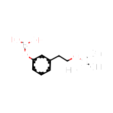 CC(C)(C)[Si](C)(C)OCCc1cccc(OB(O)O)c1